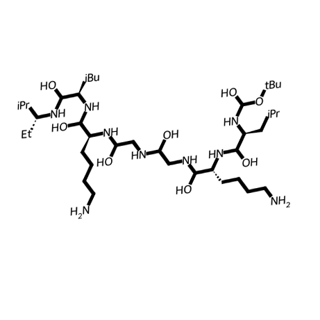 CCC(C)[C@@H](NC(O)[C@H](CCCCN)NC(O)CNC(O)CNC(O)[C@@H](CCCCN)NC(O)[C@H](CC(C)C)NC(O)OC(C)(C)C)C(O)N[C@H](CC)C(C)C